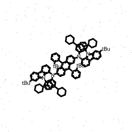 CC(C)(C)c1ccc2c3cccc(N(c4cc(C5CCCCC5)cc(C5CCCCC5)c4)c4ccc5c(-c6ccccc6C(C)(C)C)c6cc(N(c7cc(C8CCCCC8)cc(C8CCCCC8)c7)c7cccc8c9ccc(C(C)(C)C)cc9n(-c9ccccc9)c78)ccc6c(-c6ccccc6C(C)(C)C)c5c4)c3n(-c3ccccc3)c2c1